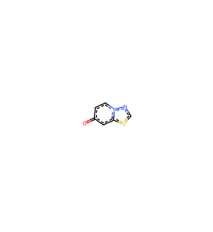 O=c1[c]cn2ncsc2c1